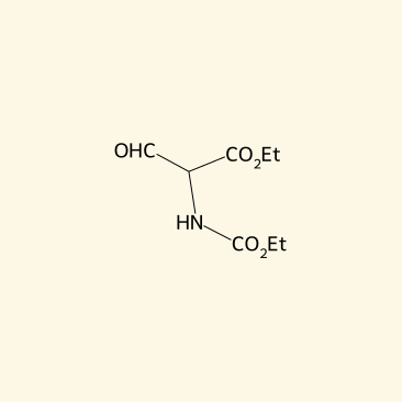 CCOC(=O)NC(C=O)C(=O)OCC